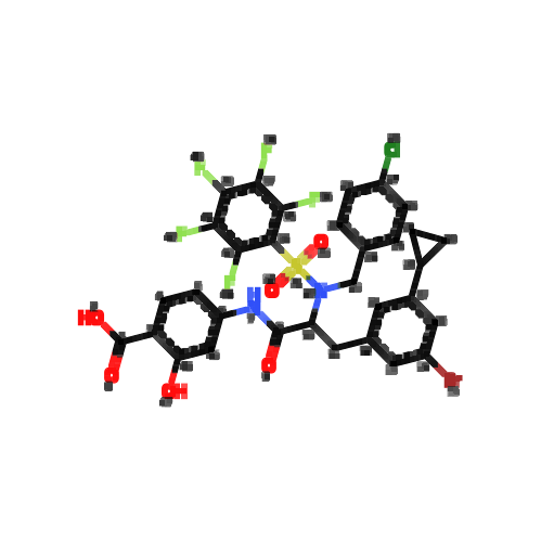 O=C(O)c1ccc(NC(=O)C(Cc2cc(Br)cc(C3CC3)c2)N(Cc2ccc(Cl)cc2)S(=O)(=O)c2c(F)c(F)c(F)c(F)c2F)cc1O